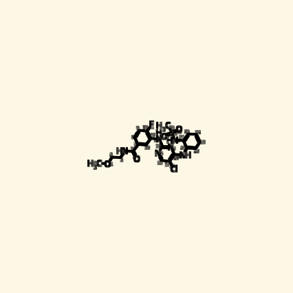 COCCNC(=O)c1ccc(F)c(Nc2ncc(Cl)c(Nc3ccccc3NS(C)(=O)=O)n2)c1